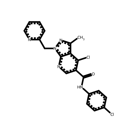 Cc1nn(Cc2ccccn2)c2ncc(C(=O)Nc3ccc(Cl)cc3)c(Cl)c12